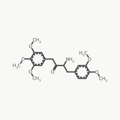 COc1ccc(CC(N)C(=O)Cc2cc(OC)c(OC)c(OC)c2)cc1OC